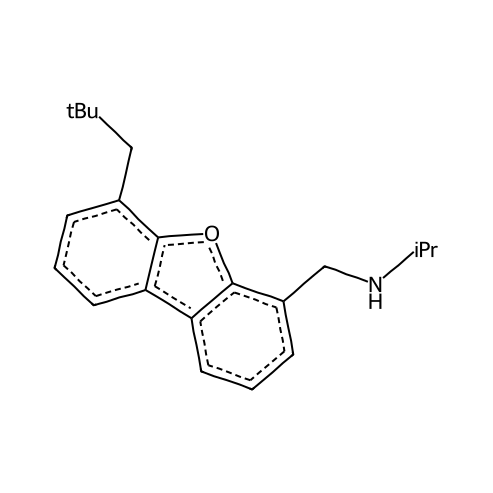 CC(C)NCc1cccc2c1oc1c(CC(C)(C)C)cccc12